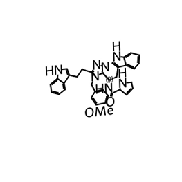 COc1ccc(Cn2c(CCc3c[nH]c4ccccc34)nnc2[C@@H](Cc2c[nH]c3ccccc23)NC(=O)C2C=CCN2)cc1